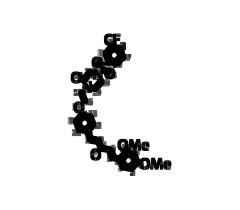 COc1ccc(C=CC(=O)C=Cc2ccc(OCCN3CCN(S(=O)(=O)c4cccc(C(F)(F)F)c4)CC3=O)cc2)c(OC)c1